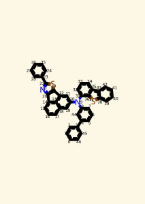 c1ccc(-c2cccc(N(c3cc4c5c(cccc5c3)-c3nc(-c5ccccc5)sc3-4)c3cccc4c3sc3ccccc34)c2)cc1